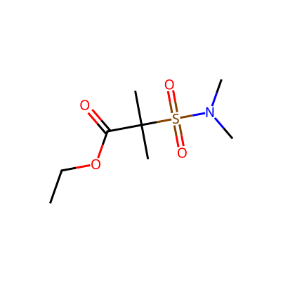 CCOC(=O)C(C)(C)S(=O)(=O)N(C)C